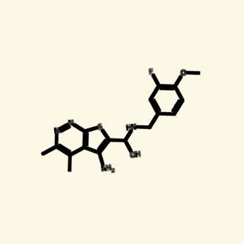 COc1ccc(CNC(O)c2sc3nnc(C)c(C)c3c2N)cc1F